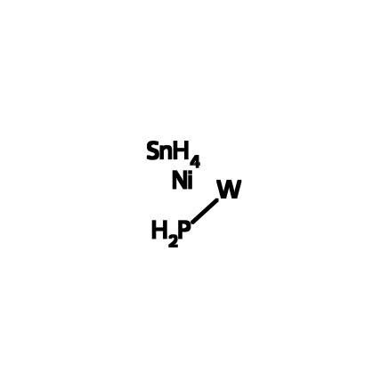 [Ni].[PH2][W].[SnH4]